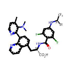 CC[C@@H](Nc1cc(F)c(C(=O)N[C@@H](Cc2ccc(-c3nccc(C)c3N(C)C)c3ncccc23)C(=O)O)c(F)c1)C(F)(F)F